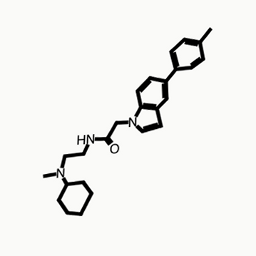 Cc1ccc(-c2ccc3c(ccn3CC(=O)NCCN(C)C3CCCCC3)c2)cc1